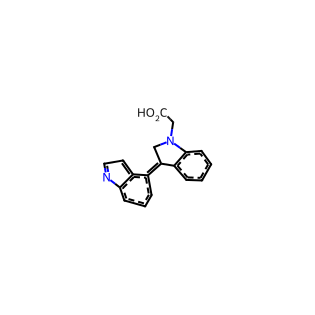 O=C(O)CN1CC(=c2cccc3c2=CC=N3)c2ccccc21